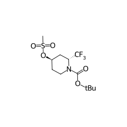 CC(C)(C)OC(=O)N1CC[C@@H](OS(C)(=O)=O)C[C@@H]1C(F)(F)F